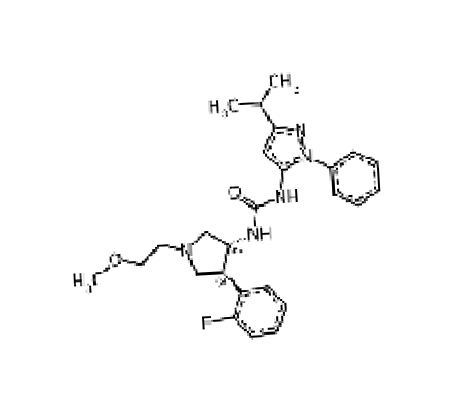 COCCN1C[C@H](NC(=O)Nc2cc(C(C)C)nn2-c2ccccc2)[C@@H](c2ccccc2F)C1